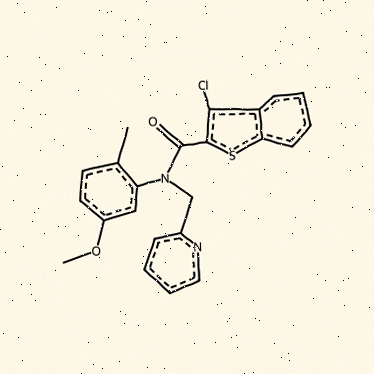 COc1ccc(C)c(N(Cc2ccccn2)C(=O)c2sc3ccccc3c2Cl)c1